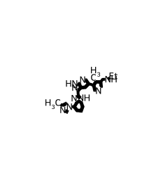 CCNCc1cncc(-c2cnc3[nH]nc(-c4nc5c(-n6cnc(C)c6)cccc5[nH]4)c3c2)c1C